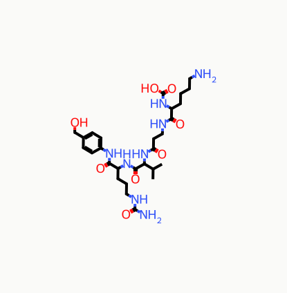 CC(C)C(NC(=O)CCNC(=O)C(CCCCN)NC(=O)O)C(=O)NC(CCCNC(N)=O)C(=O)Nc1ccc(CO)cc1